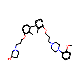 COc1ccccc1N1CCN(CCCOc2cccc(-c3cccc(OCCCN4CCC(O)C4)c3C)c2C)CC1